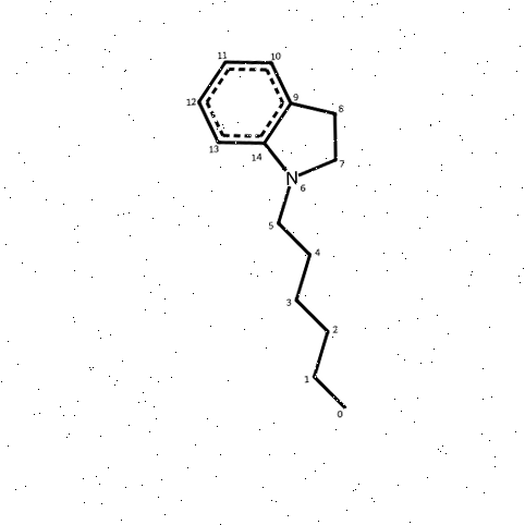 CCCCCCN1CCc2ccccc21